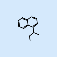 CCC(C)c1ccnc2ccccc12